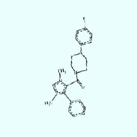 Cc1cn(C)c(C(=O)N2CCN(c3ccc(F)cc3)CC2)c1-c1ccccc1